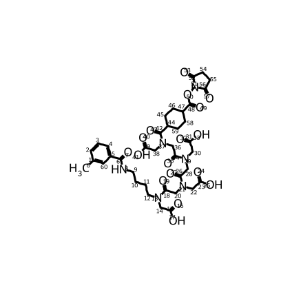 Cc1cccc(C(=O)NCCCCN(CC(=O)O)C(=O)CN(CC(=O)O)C(=O)CN(CC(=O)O)C(=O)CN(CC(=O)O)C(=O)C2CCC(C(=O)ON3C(=O)CCC3=O)CC2)c1